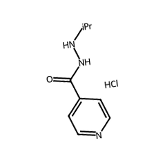 CC(C)NNC(=O)c1ccncc1.Cl